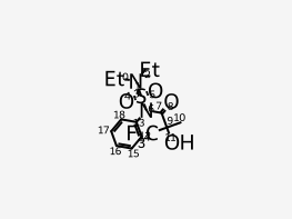 CCN(CC)S(=O)(=O)N(C(=O)C(C)(O)C(F)(F)F)c1ccccc1